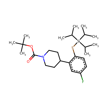 CC(C)[Si](Sc1ccc(F)cc1C1CCN(C(=O)OC(C)(C)C)CC1)(C(C)C)C(C)C